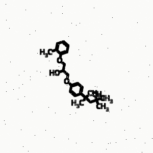 Cc1ccccc1OCC(O)COc1ccc(C(C)(C)CC(C)(C)C)cc1